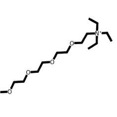 CC[N+](CC)(CC)CCOCCOCCOCCOC